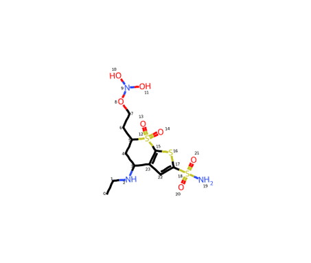 CCNC1CC(CCON(O)O)S(=O)(=O)c2sc(S(N)(=O)=O)cc21